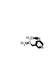 CC#N.NOCc1cccnc1